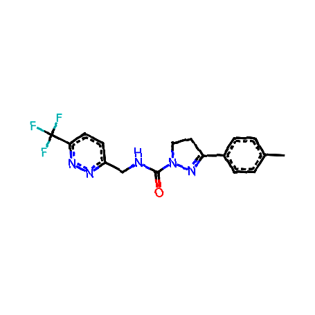 Cc1ccc(C2=NN(C(=O)NCc3ccc(C(F)(F)F)nn3)CC2)cc1